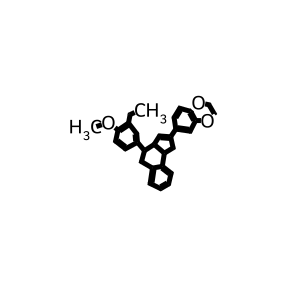 CCc1cc(C2Cc3ccccc3C3CC(c4ccc5c(c4)OCCO5)=CC23)ccc1OC